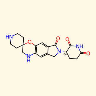 O=C1CC[C@H](N2Cc3cc4c(cc3C2=O)OC2(CCNCC2)CN4)C(=O)N1